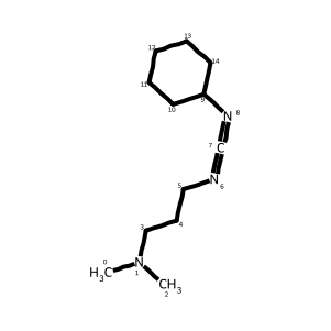 CN(C)CCCN=C=NC1CCCCC1